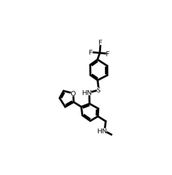 CNCc1ccc(-c2ccco2)c(NSc2ccc(C(F)(F)F)cc2)c1